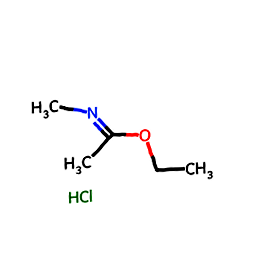 CCO/C(C)=N/C.Cl